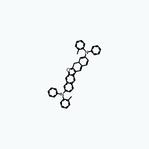 Cc1ccccc1N(C1=CC2Cc3oc4cc5cc(N(c6ccccc6)c6ccccc6C)ccc5cc4c3C=C2C=C1)c1ccccc1